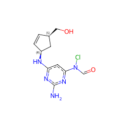 Nc1nc(N[C@H]2C=C[C@@H](CO)C2)cc(N(Cl)C=O)n1